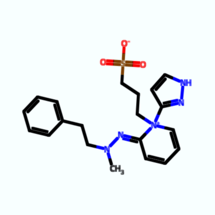 CN(CCc1ccccc1)N=C1C=CC=C[N+]1(CCCS(=O)(=O)[O-])c1cc[nH]n1